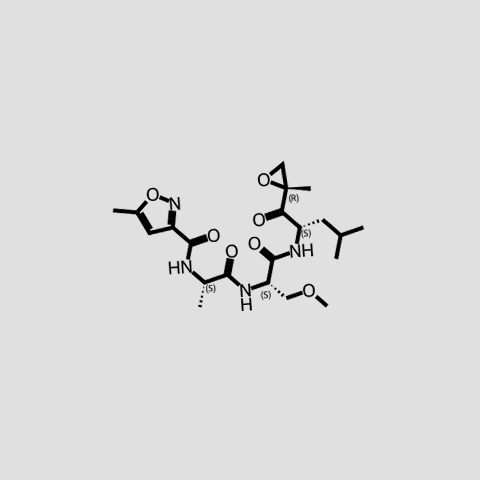 COC[C@H](NC(=O)[C@H](C)NC(=O)c1cc(C)on1)C(=O)N[C@@H](CC(C)C)C(=O)[C@@]1(C)CO1